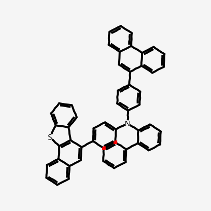 c1ccc(-c2ccccc2N(c2ccc(-c3cc4ccccc4c4ccccc34)cc2)c2ccc(-c3cc4ccccc4c4sc5ccccc5c34)cc2)cc1